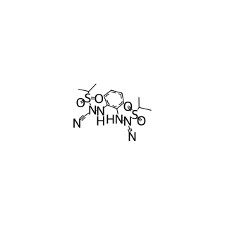 CC(C)S(=O)(=O)N(C#N)Nc1ccccc1NN(C#N)S(=O)(=O)C(C)C